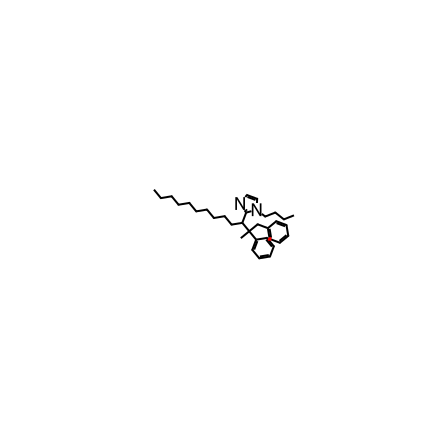 CCCCCCCCCCC(c1nccn1CCCC)C(C)(Cc1ccccc1)c1ccccc1